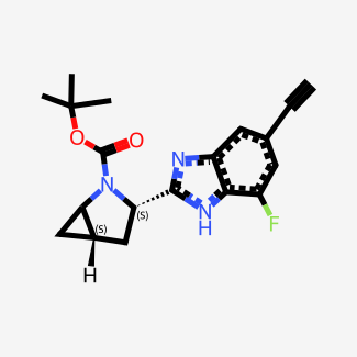 C#Cc1cc(F)c2[nH]c([C@@H]3C[C@@H]4CC4N3C(=O)OC(C)(C)C)nc2c1